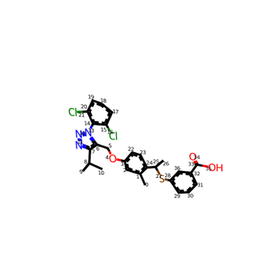 Cc1cc(OCc2c(C(C)C)nnn2-c2c(Cl)cccc2Cl)ccc1C(C)Sc1cccc(C(=O)O)c1